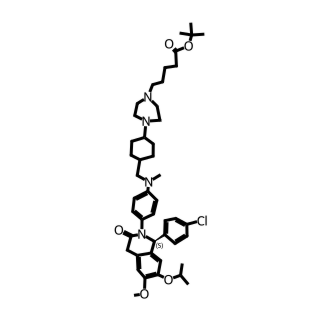 COc1cc2c(cc1OC(C)C)[C@H](c1ccc(Cl)cc1)N(c1ccc(N(C)CC3CCC(N4CCN(CCCCC(=O)OC(C)(C)C)CC4)CC3)cc1)C(=O)C2